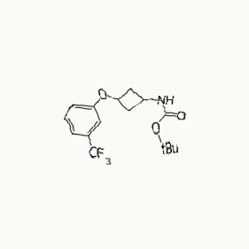 CC(C)(C)OC(=O)NC1CC(Oc2cccc(C(F)(F)F)c2)C1